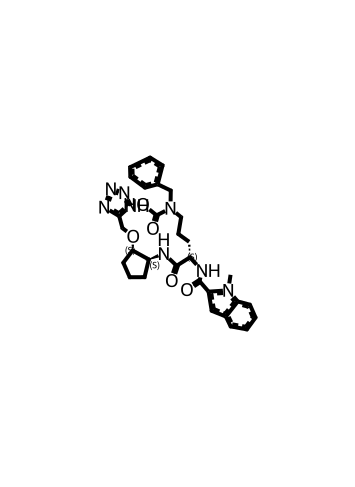 Cn1c(C(=O)N[C@@H](CCCN(Cc2ccccc2)C(=O)O)C(=O)N[C@H]2CCC[C@@H]2OCc2nnn[nH]2)cc2ccccc21